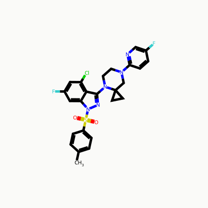 Cc1ccc(S(=O)(=O)n2nc(N3CCN(c4ccc(F)cn4)CC34CC4)c3c(Cl)cc(F)cc32)cc1